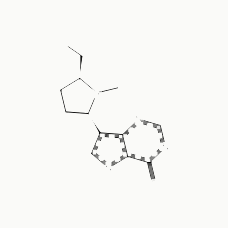 CN1[C@H](CO)CC[C@@H]1c1c[nH]c2c(=O)[nH]cnc12